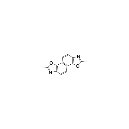 Cc1nc2ccc3c(ccc4nc(C)oc43)c2o1